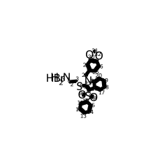 Br.NCCSc1c(S(=O)(=O)c2ccccc2)c2ccccc2n1Cc1ccc2c(c1)OCO2